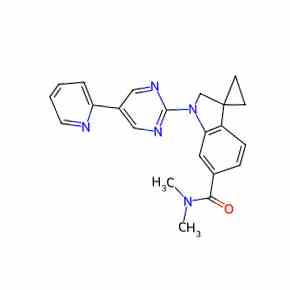 CN(C)C(=O)c1ccc2c(c1)N(c1ncc(-c3ccccn3)cn1)CC21CC1